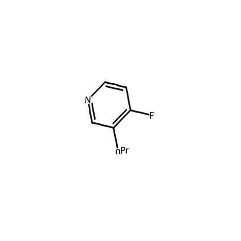 CCCc1cnccc1F